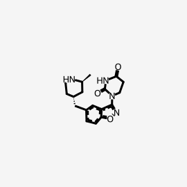 C[C@H]1C[C@H](Cc2ccc3onc(N4CCC(=O)NC4=O)c3c2)CCN1